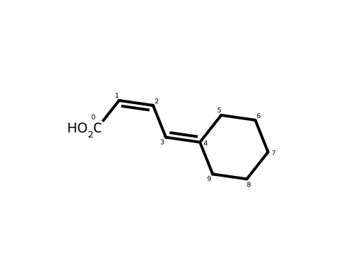 O=C(O)/C=C\C=C1CCCCC1